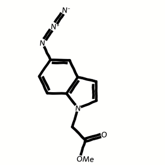 COC(=O)Cn1ccc2cc(N=[N+]=[N-])ccc21